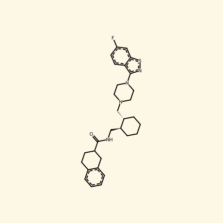 O=C(NC[C@@H]1CCCC[C@H]1CN1CCN(c2nsc3cc(F)ccc23)CC1)C1CCc2ccccc2C1